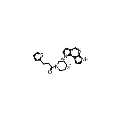 C[C@@H]1CCN(C(=O)CCc2cccs2)C[C@@H]1n1ccc2cnc3[nH]ccc3c21